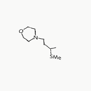 CSC(C)CCN1CCOCC1